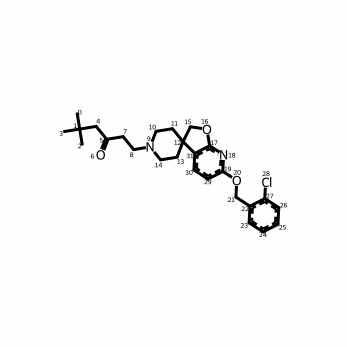 CC(C)(C)CC(=O)CCN1CCC2(CC1)COc1nc(OCc3ccccc3Cl)ccc12